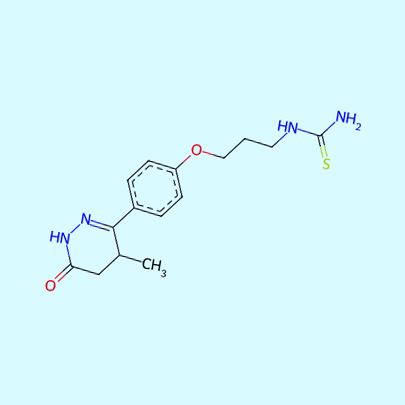 CC1CC(=O)NN=C1c1ccc(OCCCNC(N)=S)cc1